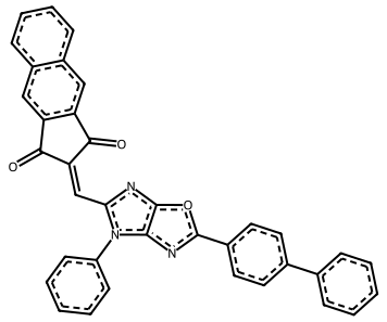 O=C1C(=Cc2nc3oc(-c4ccc(-c5ccccc5)cc4)nc3n2-c2ccccc2)C(=O)c2cc3ccccc3cc21